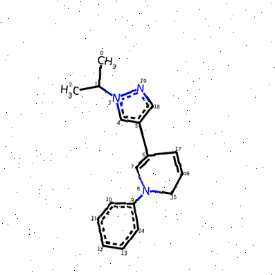 CC(C)n1cc(C2=CN(c3ccccc3)CC=C2)cn1